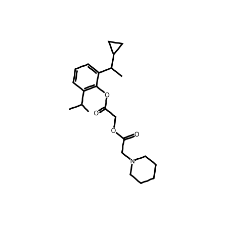 CC(C)c1cccc(C(C)C2CC2)c1OC(=O)COC(=O)CN1CCCCC1